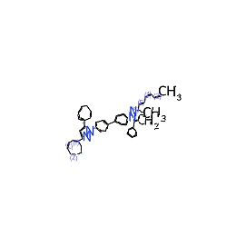 C=C(c1ccccc1)N(/N=C(/C=C/C=C\C=C/C)CC)c1ccc(C2=CC=C(n3nc(/C4=C/C=C\C=C/CC4)cc3C3=CC=CCC=C3)CC2)cc1